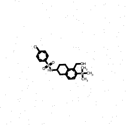 C[Si](C)(C)c1ccc2c(c1CO)CCC(NS(=O)(=O)c1ccc(Cl)cc1)C2